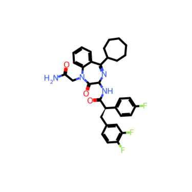 NC(=O)CN1C(=O)C(NC(=O)[C@H](Cc2ccc(F)c(F)c2)c2ccc(F)cc2)N=C(C2CCCCCC2)c2ccccc21